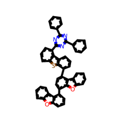 c1ccc(-c2nc(-c3ccccc3)nc(-c3cccc4sc5c(-c6ccc(-c7cccc8oc9ccccc9c78)c7oc8ccccc8c67)cccc5c34)n2)cc1